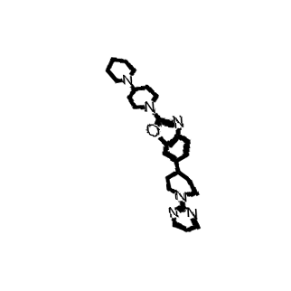 c1cnc(N2CCC(c3ccc4nc(N5CCC(N6CCCCC6)CC5)oc4c3)CC2)nc1